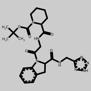 CC(C)(C)OC(=O)N1CCCCC1C(=O)NCC(=O)N1c2ccccc2CC1C(=O)NCc1nn[nH]n1